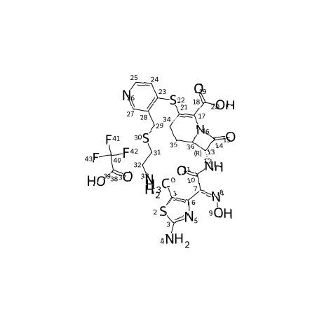 Cc1sc(N)nc1C(=NO)C(=O)N[C@H]1C(=O)N2C(C(=O)O)=C(Sc3ccncc3CSCCN)CCC12.O=C(O)C(F)(F)F